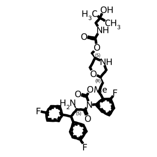 COC(=O)N(C(=O)[C@@H](N)C(c1ccc(F)cc1)c1ccc(F)cc1)c1cccc(F)c1CC[C@@H]1CN[C@H](COC(=O)NCC(C)(C)O)CO1